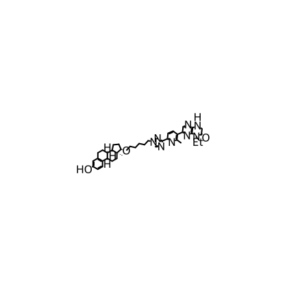 CCN1C(=O)CNc2ncc(-c3ccc(-c4ncn(CCCCCO[C@H]5CC[C@H]6[C@@H]7CCc8cc(O)ccc8[C@H]7CC[C@]56C)n4)nc3C)nc21